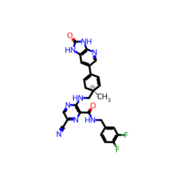 C[C@@]1(CNc2ncc(C#N)nc2C(=O)NCc2ccc(F)c(F)c2)C=CC(c2cnc3[nH]c(=O)[nH]c3c2)=CC1